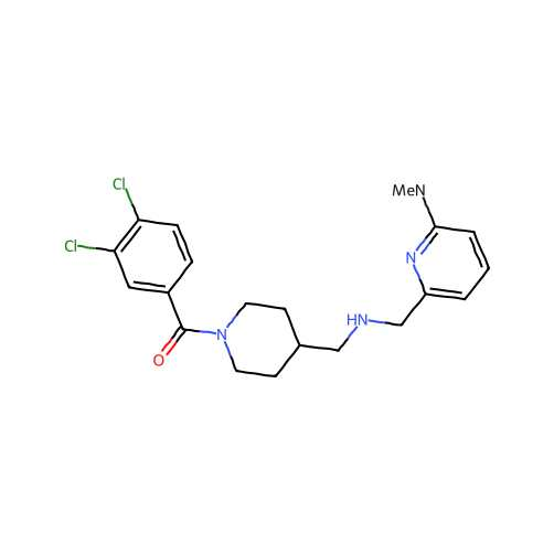 CNc1cccc(CNCC2CCN(C(=O)c3ccc(Cl)c(Cl)c3)CC2)n1